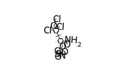 CC(C)(c1cc(Cl)c(OCCCl)c(Cl)c1)c1ccc(OCc2ocnc2S(C)(=O)=O)c(C(N)=O)c1